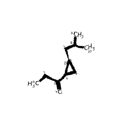 CCC(=O)C1C[C@@H]1CC(C)C